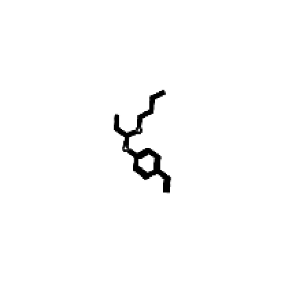 C=Cc1ccc(OC(CC)OCCCC)cc1